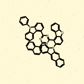 c1ccc(-n2c3ccccc3c3c(-c4nc(-c5cccc6ccccc56)nc(-c5c(-n6c7ccccc7c7cc8ccccc8cc76)ccc6oc7ccccc7c56)n4)cccc32)cc1